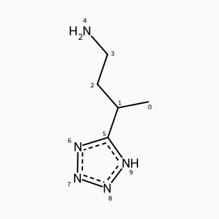 CC(CCN)c1nnn[nH]1